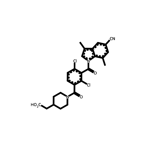 Cc1cn(C(=O)c2c(Cl)ccc(C(=O)N3CCC(CC(=O)O)CC3)c2Cl)c2c(C)cc(C#N)cc12